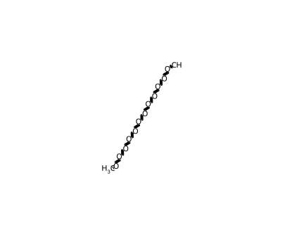 C#COCCOCCOCCOCCOCCOCCOCCOCCOCCOCCOCCOC